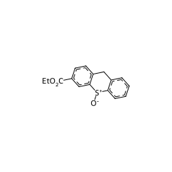 CCOC(=O)c1ccc2c(c1)[S+]([O-])c1ccccc1C2